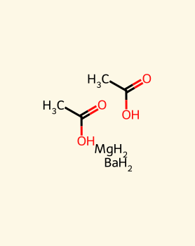 CC(=O)O.CC(=O)O.[BaH2].[MgH2]